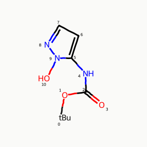 CC(C)(C)OC(=O)Nc1ccnn1O